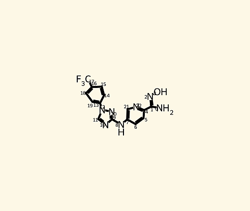 N/C(=N\O)c1ccc(Nc2ncn(-c3ccc(C(F)(F)F)cc3)n2)cn1